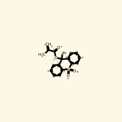 C=C(C)C(=O)OC1(C(C)C)c2ccccc2S(=O)(=O)c2ccccc21